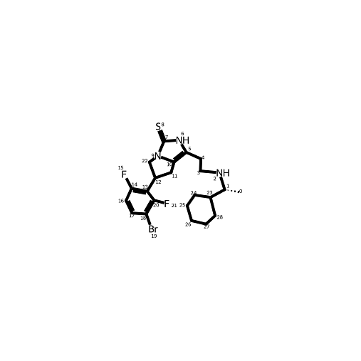 C[C@@H](NCCc1[nH]c(=S)n2c1CC(c1c(F)ccc(Br)c1F)C2)C1CCCCC1